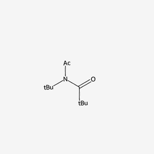 CC(=O)N(C(=O)C(C)(C)C)C(C)(C)C